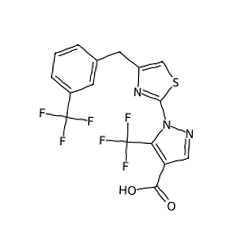 O=C(O)c1cnn(-c2nc(Cc3cccc(C(F)(F)F)c3)cs2)c1C(F)(F)F